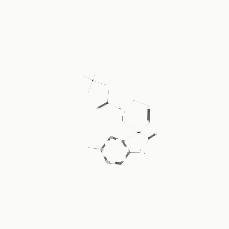 CC(C)(C)OC(=O)N1CC=CC2(C1)C(=O)Nc1ccc(F)cc12